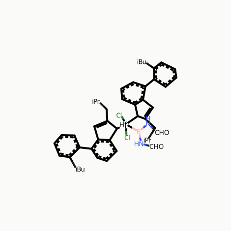 CCC(C)c1ccccc1-c1cccc2c1C=C(CC(C)C)[CH]2[Hf]([Cl])([Cl])([B](NC=O)NC=O)[CH]1C(CC(C)C)=Cc2c(-c3ccccc3C(C)CC)cccc21